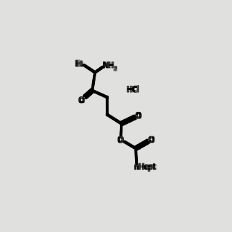 CCCCCCCC(=O)OC(=O)CCC(=O)C(N)CC.Cl